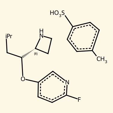 CC(C)CC(Oc1ccc(F)nc1)[C@H]1CCN1.Cc1ccc(S(=O)(=O)O)cc1